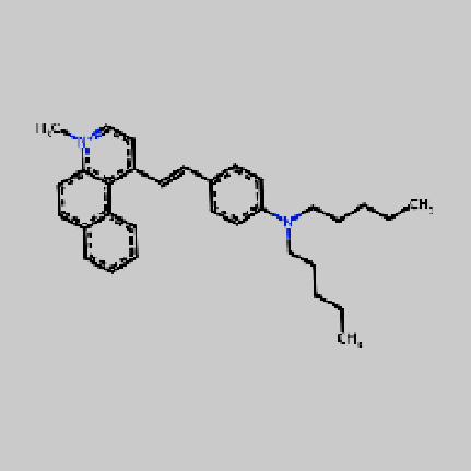 CCCCCN(CCCCC)c1ccc(C=Cc2cc[n+](C)c3ccc4ccccc4c23)cc1